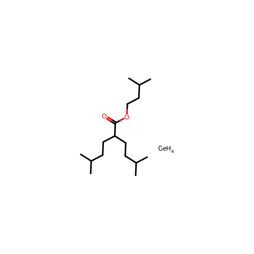 CC(C)CCOC(=O)C(CCC(C)C)CCC(C)C.[GeH4]